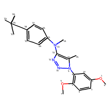 COc1ccc(OC)c(-n2nnc(N(C)c3ccc(C(C)(C)C)cc3)c2C)c1